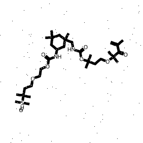 C=C(C)C(=O)C(C)(C)OCCC(C)(C)OC(=O)NCC1(C)CC(NC(=O)OCCOCCC(C)(C)[SH](C)(C)=O)CC(C)(C)C1